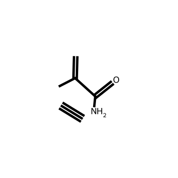 C#C.C=C(C)C(N)=O